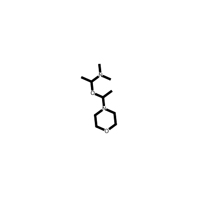 CC(OC(C)N1CCOCC1)N(C)C